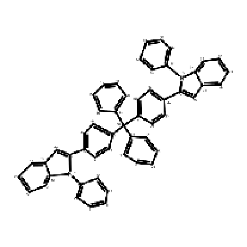 c1ccc(-n2c(-c3ccc(C(c4ccccc4)(c4ccccc4)c4ccc(-c5cc6ccccc6n5-c5ccccc5)cc4)cc3)cc3ccccc32)cc1